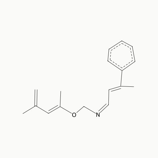 C=C(C)/C=C(\C)OC/N=C\C=C(/C)c1ccccc1